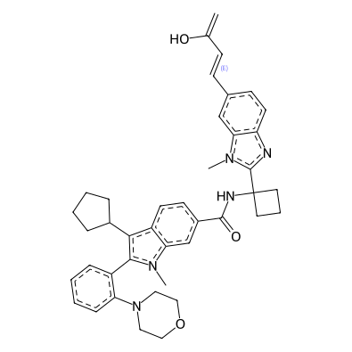 C=C(O)/C=C/c1ccc2nc(C3(NC(=O)c4ccc5c(C6CCCC6)c(-c6ccccc6N6CCOCC6)n(C)c5c4)CCC3)n(C)c2c1